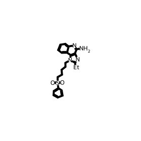 CCc1nc2c(N)nc3ccccc3c2n1CCCCCS(=O)(=O)c1ccccc1